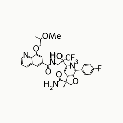 CO[C@H](C)COc1cc(C(=O)NCC(O)(c2cc3c(c(-c4ccc(F)cc4)n2)OC[C@]3(C)C(N)=O)C(F)(F)F)cc2cccnc12